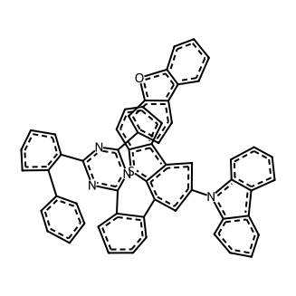 c1ccc(-c2ccccc2-c2nc(-c3ccc4c(c3)oc3ccccc34)nc(-c3ccccc3-c3cc(-n4c5ccccc5c5ccccc54)cc4c3sc3ccccc34)n2)cc1